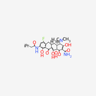 CC(C)CC(=O)Nc1cc(F)c2c(c1O)C(=O)C1=C(O)[C@]3(O)C(=O)C(C(N)=O)=C(O)[C@@H](N(C)C)[C@@H]3C[C@@H]1C2